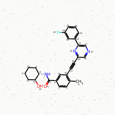 Cc1ccc(C(=O)N[C@H]2CCCC[C@@H]2O)cc1C#Cc1cncc(-c2cccc(F)c2)n1